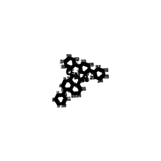 O=c1c2ccc(-c3ccccc3)c3cccc(c32)c2nc3c(-c4ccccc4)ccc(-c4ccccc4)c3n12